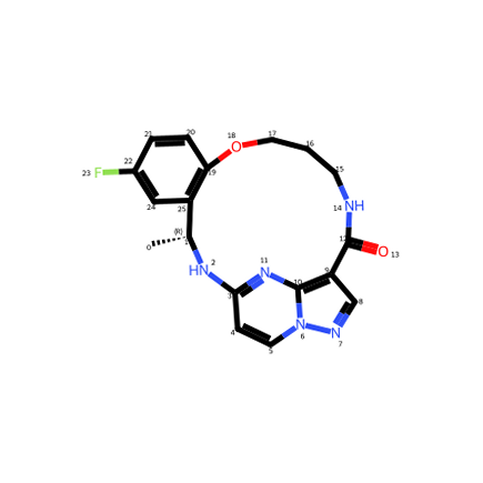 C[C@H]1Nc2ccn3ncc(c3n2)C(=O)NCCCOc2ccc(F)cc21